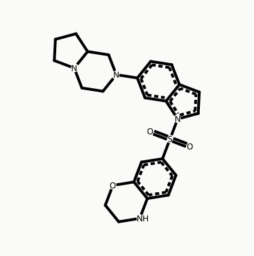 O=S(=O)(c1ccc2c(c1)OCCN2)n1ccc2ccc(N3CCN4CCCC4C3)cc21